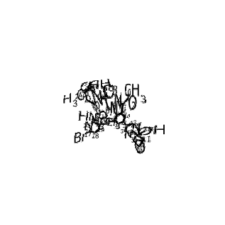 CC(=O)c1nn(CC(=O)N2[C@H](C(=O)Nc3nc(Br)ccc3C)CC(C)(C)[C@H]2C)c2c(C)cc(-c3cnc(C4(O)COC4)nc3)cc12